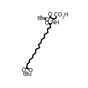 CC(C)(C)OC(=O)CCCCCCCCCCCCCCCCC(=O)NC(CC(=O)O)C(=O)OC(C)(C)C